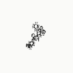 O=C(NC1(c2ccc(C(=O)NCc3ccn4ccnc4c3)s2)COC1)c1ccccc1